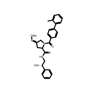 CON=C1CC(C(=O)NC[C@@H](O)c2ccccc2)N(C(=O)c2ccc(-c3ccccc3C)cc2)C1